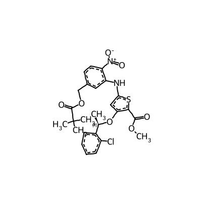 COC(=O)c1sc(Nc2cc(COC(=O)C(C)(C)C)ccc2[N+](=O)[O-])cc1O[C@H](C)c1ccccc1Cl